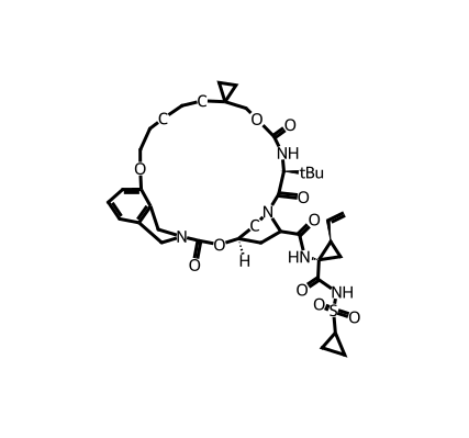 C=C[C@H]1C[C@@]1(NC(=O)C1C[C@@H]2CN1C(=O)[C@H](C(C)(C)C)NC(=O)OCC1(CCCCCOc3cccc4c3CN(C4)C(=O)O2)CC1)C(=O)NS(=O)(=O)C1CC1